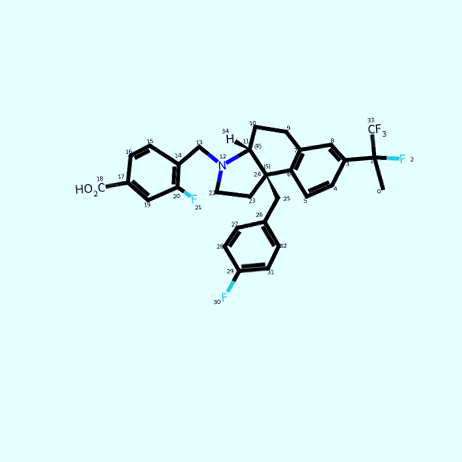 CC(F)(c1ccc2c(c1)CC[C@H]1N(Cc3ccc(C(=O)O)cc3F)CC[C@@]21Cc1ccc(F)cc1)C(F)(F)F